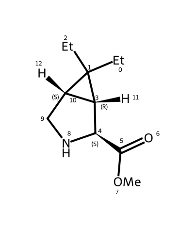 CCC1(CC)[C@@H]2[C@@H](C(=O)OC)NC[C@@H]21